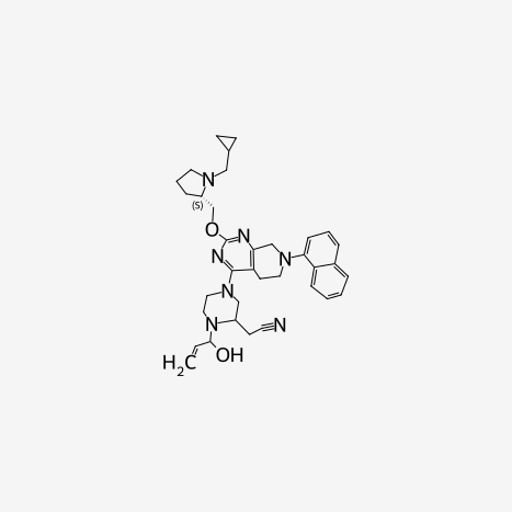 C=CC(O)N1CCN(c2nc(OC[C@@H]3CCCN3CC3CC3)nc3c2CCN(c2cccc4ccccc24)C3)CC1CC#N